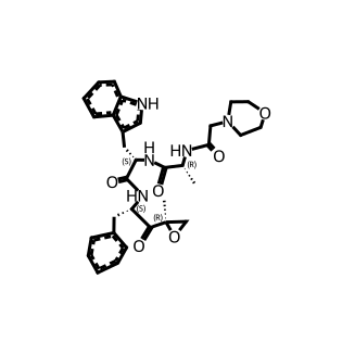 C[C@@H](NC(=O)CN1CCOCC1)C(=O)N[C@@H](Cc1c[nH]c2ccccc12)C(=O)N[C@@H](Cc1ccccc1)C(=O)[C@@]1(C)CO1